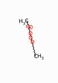 CCCCCCCCCCOCCOCCOCCCC(=O)OCCCC